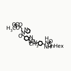 CCCCCCOC(=O)NC(=N)c1ccc(NCc2nc3cc(C(=O)N(CCC(=O)OS(C)(=O)=O)c4ccccn4)ccc3n2C)cc1